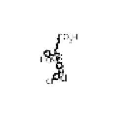 O=C(O)CCC=CCC1COC(c2ccc(Oc3ccc(Cl)cc3Cl)cc2)OC1c1ccccc1O